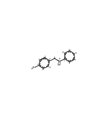 Fc1ccc(CNc2cc[c]cc2)cc1